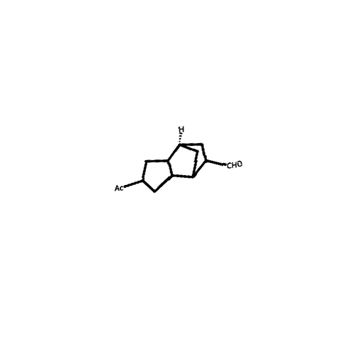 CC(=O)C1CC2C3C[C@H](CC3C=O)C2C1